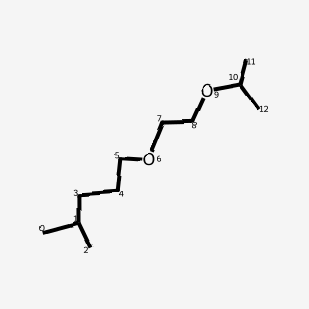 CC(C)CCCOCCOC(C)C